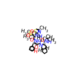 Cc1csc(N[C@H](C(=O)N[C@@H](Cc2ccccc2)[C@H](O)CN2C[C@H]3CCCC[C@H]3C[C@H]2C(=O)NC(C)(C)C)C(C)(C)S(C)(=O)=O)n1